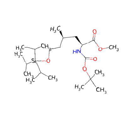 COC(=O)[C@H](C[C@H](C)CCO[Si](C(C)C)(C(C)C)C(C)C)NC(=O)OC(C)(C)C